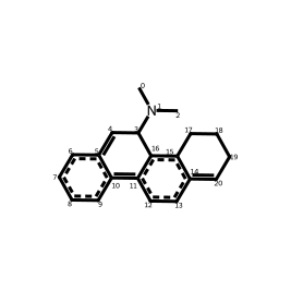 CN(C)C1C=c2ccccc2=c2ccc3c(c21)CCCC=3